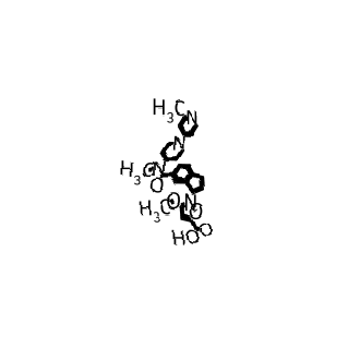 COC1C=C(C(=O)O)ON1[C@@H]1CCc2ccc(C(=O)N(C)C3CCN(c4ccnc(C)c4)CC3)cc21